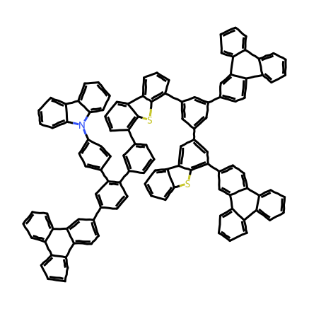 c1cc(-c2ccc(-c3ccc4c5ccccc5c5ccccc5c4c3)cc2-c2ccc(-n3c4ccccc4c4ccccc43)cc2)cc(-c2cccc3c2sc2c(-c4cc(-c5cc(-c6ccc7c8ccccc8c8ccccc8c7c6)c6sc7ccccc7c6c5)cc(-c5ccc6c7ccccc7c7ccccc7c6c5)c4)cccc23)c1